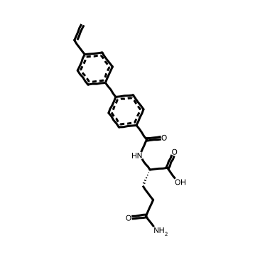 C=Cc1ccc(-c2ccc(C(=O)N[C@@H](CCC(N)=O)C(=O)O)cc2)cc1